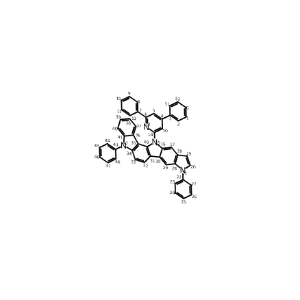 c1ccc(-c2cc(-c3ccccc3)nc(-n3c4cc5ccn(-c6ccccc6)c5cc4c4ccc5c(c6ccccc6n5-c5ccccc5)c43)c2)cc1